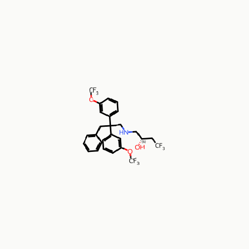 O[C@H](CNCC(Cc1ccccc1)(c1cccc(OC(F)(F)F)c1)c1cccc(OC(F)(F)F)c1)CC(F)(F)F